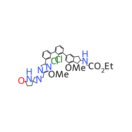 CCOC(=O)CNC1Cc2cc(-c3cccc(-c4cccc(-c5cnc(CN6CC7(CCC(=O)N7)C6)c(OC)n5)c4Cl)c3Cl)cc(OC)c2C1